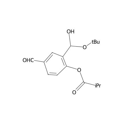 CC(C)C(=O)Oc1ccc(C=O)cc1C(O)OC(C)(C)C